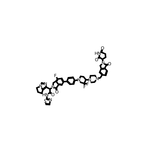 O=C1CCC(N2Cc3cc(CN4CCN(C5CCN(c6ccc(-c7cc(F)c8c(c7)C(=O)N(C(C(=O)Nc7nccs7)c7ncn9c7CCC9)C8)cc6)CC5(F)F)CC4)ccc3C2=O)C(=O)N1